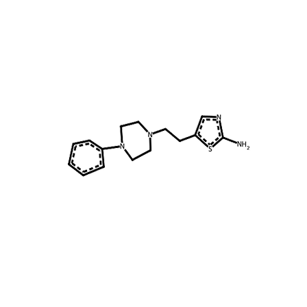 Nc1ncc(CCN2CCN(c3ccccc3)CC2)s1